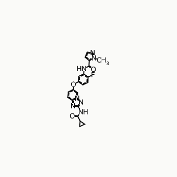 Cn1nccc1C(=O)Nc1cc(Oc2ccc3nc(NC(=O)C4CC4)nn3c2)ccc1F